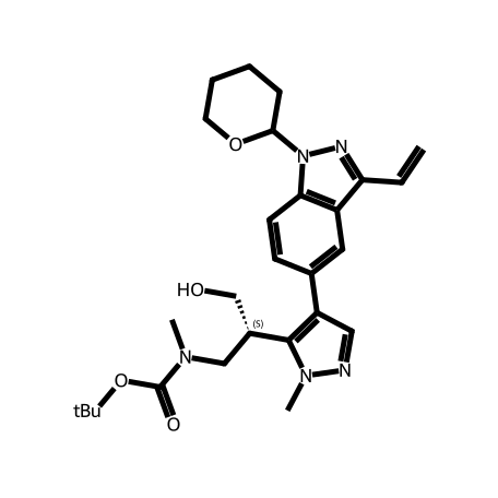 C=Cc1nn(C2CCCCO2)c2ccc(-c3cnn(C)c3[C@@H](CO)CN(C)C(=O)OC(C)(C)C)cc12